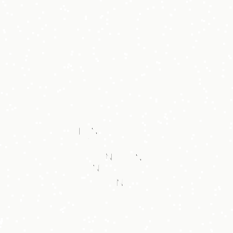 Cc1nc2ncnn2c(N)c1C#Cc1[c]cccc1